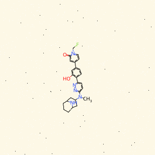 CN(c1ccc(-c2ccc(-c3ccn(CF)c(=O)c3)cc2O)nn1)C1CC2CCCC(C1)N2